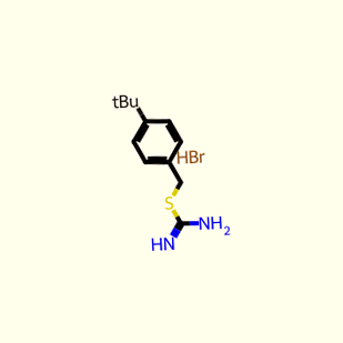 Br.CC(C)(C)c1ccc(CSC(=N)N)cc1